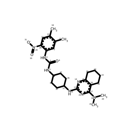 Cc1cc(NC(=O)NC2CCC(Nc3nc4c(c(N(C)C)n3)CCCC4)CC2)c([N+](=O)[O-])cc1C